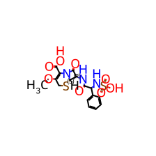 COC1=C(C(=O)O)N2C(=O)[C@@H](NC(=O)C(NS(=O)(=O)O)c3ccccc3)[C@@H]2SC1